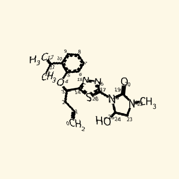 C=CCC(Oc1ccccc1C(C)C)c1nnc(N2C(=O)N(C)CC2O)s1